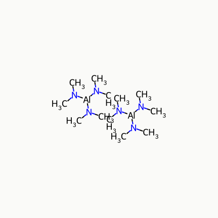 C[N](C)[Al]([N](C)C)[N](C)C.C[N](C)[Al]([N](C)C)[N](C)C